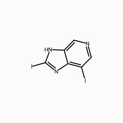 Ic1nc2c(I)cncc2[nH]1